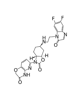 O=C1COc2ccc(N3C(=O)O[C@@H]4C[C@H](NCCn5c(=O)cnc6cc(F)c(F)cc65)CC[C@H]43)nc2N1